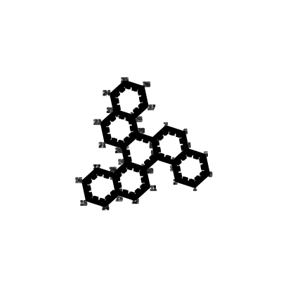 c1ccc2c(c1)ccc1c2c2ccc3ccccc3c2c2ccc3ccccc3c12